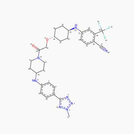 Cn1nnc(-c2ccc(NC3CCN(C(=O)CO[C@H]4CC[C@H](Nc5ccc(C#N)c(C(F)(F)F)c5)CC4)CC3)cc2)n1